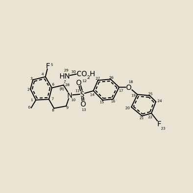 Cc1ccc(F)c2c1CCN(S(=O)(=O)c1ccc(Oc3ccc(F)cc3)cc1)[C@H]2NC(=O)O